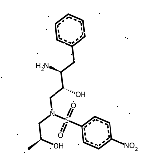 C[C@H](O)CN(C[C@@H](O)[C@@H](N)Cc1ccccc1)S(=O)(=O)c1ccc([N+](=O)[O-])cc1